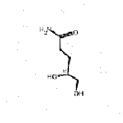 NC(=O)CC[C@H](O)CO